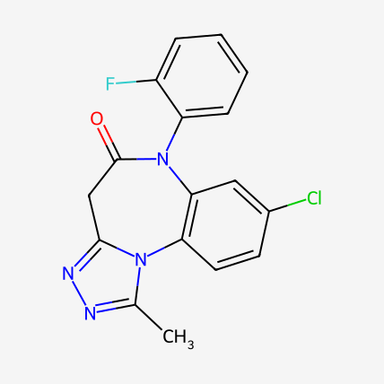 Cc1nnc2n1-c1ccc(Cl)cc1N(c1ccccc1F)C(=O)C2